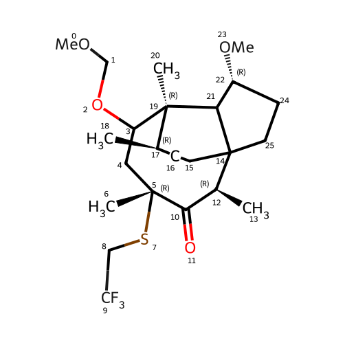 COCOC1C[C@@](C)(SCC(F)(F)F)C(=O)[C@H](C)C23CC[C@@H](C)[C@]1(C)C2[C@H](OC)CC3